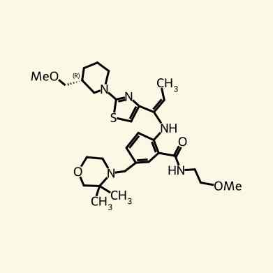 CC=C(Nc1ccc(CN2CCOCC2(C)C)cc1C(=O)NCCOC)c1csc(N2CCC[C@@H](COC)C2)n1